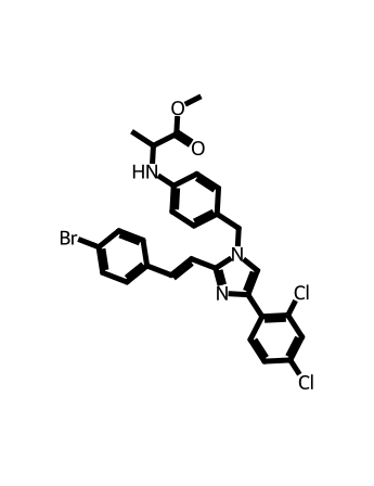 COC(=O)C(C)Nc1ccc(Cn2cc(-c3ccc(Cl)cc3Cl)nc2C=Cc2ccc(Br)cc2)cc1